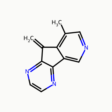 C=C1c2nccnc2-c2cncc(C)c21